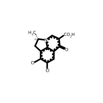 C[C@H]1Cc2c(Cl)c(Cl)cc3c(=O)c(C(=O)O)cn1c23